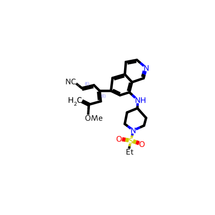 C=C(/C=C(\C=C\C#N)c1cc(NC2CCN(S(=O)(=O)CC)CC2)c2cnccc2c1)OC